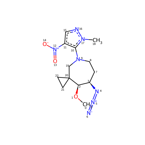 CO[C@@H]1[C@H](N=[N+]=[N-])CCN(c2c([N+](=O)[O-])cnn2C)CC12CC2